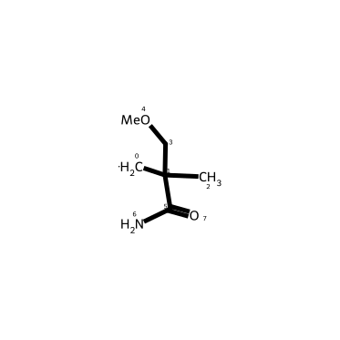 [CH2]C(C)(COC)C(N)=O